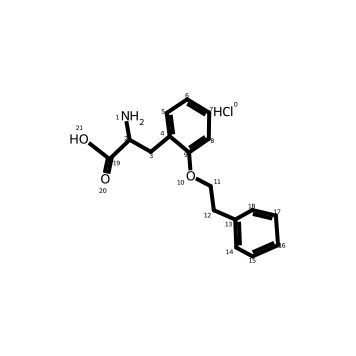 Cl.NC(Cc1ccccc1OCCc1ccccc1)C(=O)O